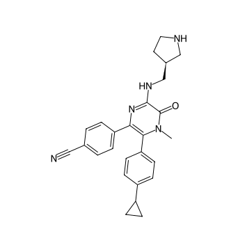 Cn1c(-c2ccc(C3CC3)cc2)c(-c2ccc(C#N)cc2)nc(NC[C@H]2CCNC2)c1=O